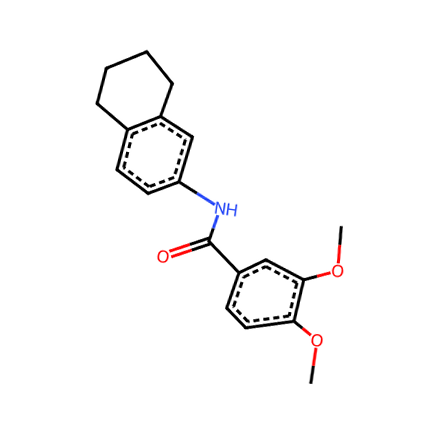 COc1ccc(C(=O)Nc2ccc3c(c2)CCCC3)cc1OC